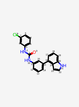 O=C(Nc1cccc(Cl)c1)Nc1cccc(-c2cccc3[nH]ccc23)c1